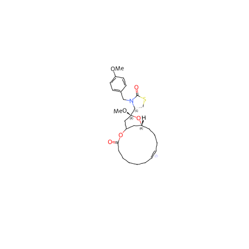 COc1ccc(CN2C(=O)SC[C@@H]2[C@@]2(OC)CC3C[C@@H](CCC/C=C\CCCCCC(=O)O3)O2)cc1